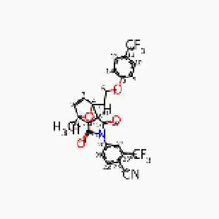 C[C@@]12C=C[C@@](CCOc3ccc(C(F)(F)F)cc3)(O1)[C@H]1C(=O)N(c3ccc(C#N)c(C(F)(F)F)c3)C(=O)[C@H]12